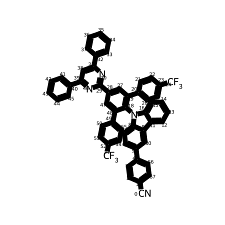 N#Cc1ccc(-c2ccc3c(c2)c2ccccc2n3-c2c(-c3ccc(C(F)(F)F)cc3)cc(-c3nc(-c4ccccc4)cc(-c4ccccc4)n3)cc2-c2ccc(C(F)(F)F)cc2)cc1